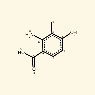 Cc1c(O)ccc(C(=O)O)c1N